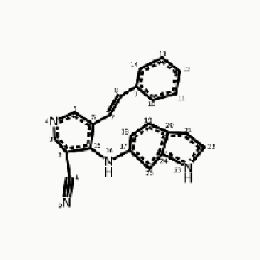 N#Cc1cncc(C=Cc2ccccc2)c1Nc1ccc2cc[nH]c2c1